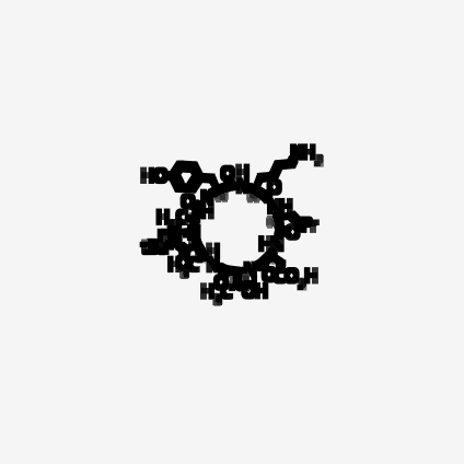 CCCN1[C@H](C(=O)NC(C)(C)C)[C@H](C)NC(=O)[C@H]([C@@H](C)O)NC(=O)[C@H](CC(=O)O)NC(=O)[C@H](CC(C)C)NC(=O)[C@H](CCCCN)NC(=O)[C@H](Cc2ccc(O)cc2)NC(=O)[C@@H]1C